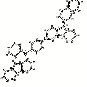 c1ccc(N(c2ccc(-c3ccc4c(c3)c3ccccc3n4-c3ccc4ccccc4c3)cc2)c2cccc3c2sc2ccccc23)cc1